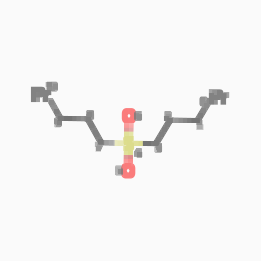 CC(C)CCCS(=O)(=O)CCCC(C)C